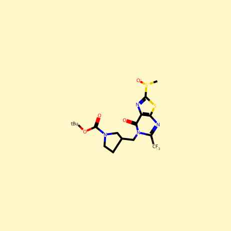 C[S+]([O-])c1nc2c(=O)n(CC3CCN(C(=O)OC(C)(C)C)C3)c(C(F)(F)F)nc2s1